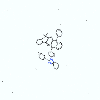 CC1(C)c2ccccc2-c2cc3c(-c4ccc(-n5c(-c6ccccc6)nc6ccccc65)cc4)c4ccccc4c(-c4ccccc4)c3cc21